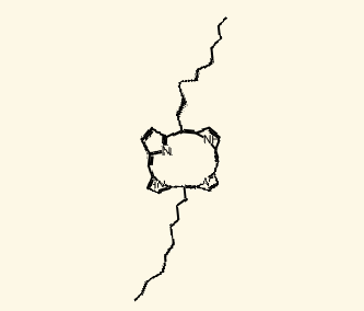 CCCCCCCCCCc1c2nc(cc3ccc([nH]3)c(CCCCCCCCCC)c3nc(cc4ccc1[nH]4)C=C3)C=C2